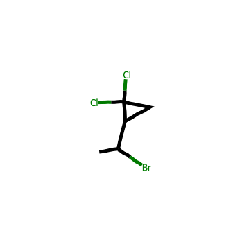 C[C](Br)C1CC1(Cl)Cl